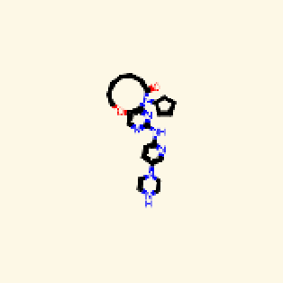 O=C1CCCCCCOc2cnc(Nc3ccc(N4CCNCC4)cn3)nc2N1C1CCCC1